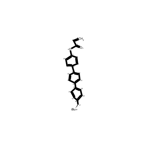 C=CC(=O)Oc1ccc(-c2ccc(-c3ccc(C[C@@H](C)CC)cc3)cc2)cc1